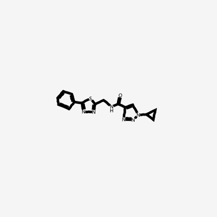 O=C(NCc1nnc(-c2ccccc2)s1)c1cn(C2CC2)nn1